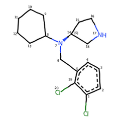 Clc1cccc(CN(C2CCCCC2)[C@H]2CCNC2)c1Cl